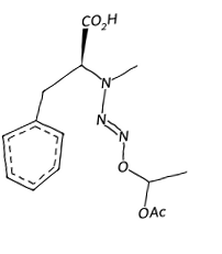 CC(=O)OC(C)ON=NN(C)[C@@H](Cc1ccccc1)C(=O)O